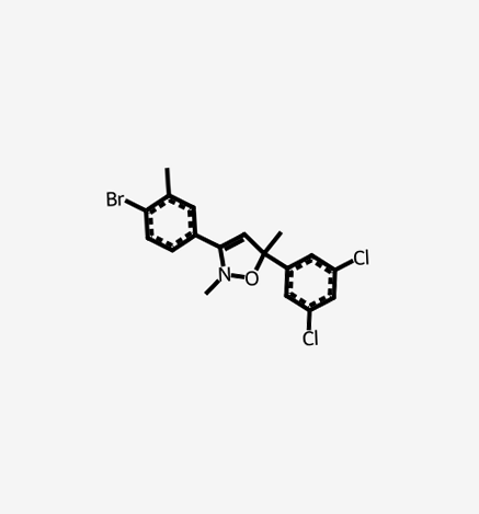 Cc1cc(C2=CC(C)(c3cc(Cl)cc(Cl)c3)ON2C)ccc1Br